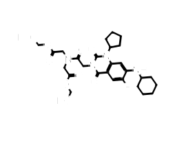 CCOC(=O)CN(CC(=O)OCC)C(=O)Cn1c(=O)c2cc(F)c(NC3CCCCC3)cc2n(C2CCCC2)c1=O